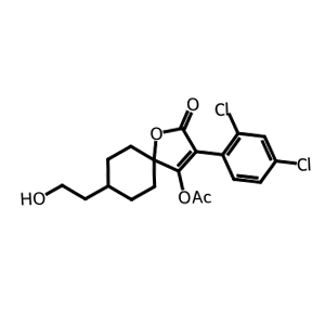 CC(=O)OC1=C(c2ccc(Cl)cc2Cl)C(=O)OC12CCC(CCO)CC2